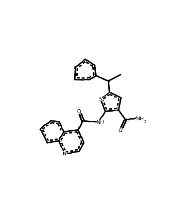 CC(c1ccccc1)c1cc(C(N)=O)c(NC(=O)c2ccnc3ccccc23)s1